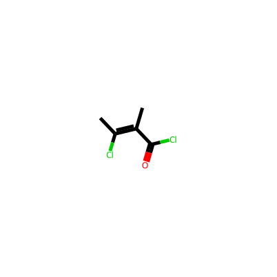 C/C(Cl)=C(\C)C(=O)Cl